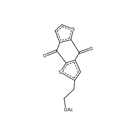 CC(=O)OCCc1cc2c(s1)C(=O)c1ccsc1C2=O